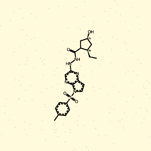 CC[C@@H]1C[C@H](O)CC1C(=O)NNc1cnc2c(ccn2S(=O)(=O)c2ccc(C)cc2)n1